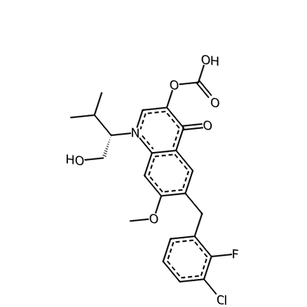 COc1cc2c(cc1Cc1cccc(Cl)c1F)c(=O)c(OC(=O)O)cn2[C@H](CO)C(C)C